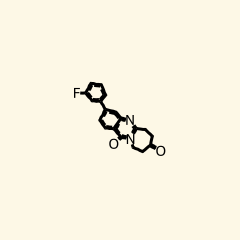 O=C1CCc2nc3cc(-c4cccc(F)c4)ccc3c(=O)n2CC1